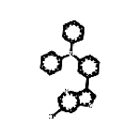 Clc1cnc2c(-c3cccc(N(c4ccccc4)c4ccccc4)c3)coc2c1